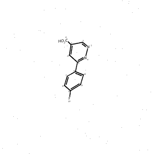 O=C(O)c1cnnc(-c2ccc(F)cc2)c1